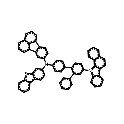 c1ccc(-c2cc(-n3c4ccccc4c4ccc5ccccc5c43)ccc2-c2ccc(N(c3ccc4c(c3)-c3cccc5cccc-4c35)c3ccc4c(c3)sc3ccccc34)cc2)cc1